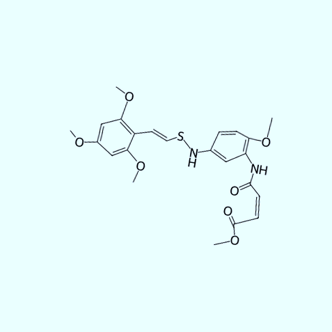 COC(=O)/C=C\C(=O)Nc1cc(NS/C=C/c2c(OC)cc(OC)cc2OC)ccc1OC